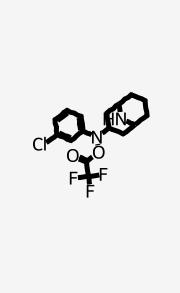 O=C(ON(c1cccc(Cl)c1)C1CC2CCCC(C1)N2)C(F)(F)F